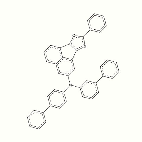 c1ccc(-c2ccc(N(c3cccc(-c4ccccc4)c3)c3cc4c5c(cccc5c3)-c3oc(-c5ccccc5)nc3-4)cc2)cc1